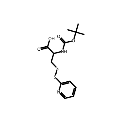 CC(C)(C)OC(=O)NC(CSSc1ccccn1)C(=O)O